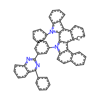 c1ccc(-c2nc(-c3cccc(-n4c5ccc6ccccc6c5c5c6ccccc6c6c7ccccc7n(-c7ccccc7)c6c54)c3)nc3ccccc23)cc1